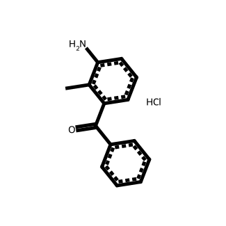 Cc1c(N)cccc1C(=O)c1ccccc1.Cl